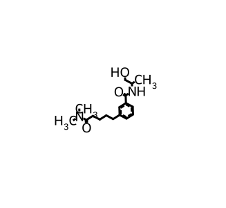 CC(CO)NC(=O)c1cccc(CCCCC(=O)N(C)C)c1